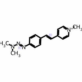 CN(C)/N=N/c1ccc(/C=C/c2cc[n+](C)cc2)cc1